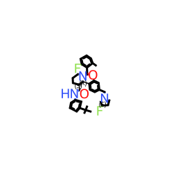 Cc1cccc(F)c1C(=O)N1CCC[C@H](C(=O)Nc2cccc(C(C)(C)C)c2)[C@@H]1c1ccc(CN2CC[C@H](F)C2)cc1